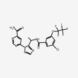 CC(NC(=O)c1cc(Cl)cc(OC(F)(F)C(F)(F)I)c1)c1ncnn1-c1cc(C(N)=O)ncn1